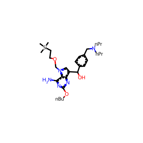 CCCCOc1nc(N)c2c(n1)c(C(O)c1ccc(CN(CCC)CCC)cc1)cn2COCC[Si](C)(C)C